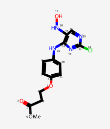 COC(=O)CCOc1ccc(Nc2nc(Cl)ncc2NO)cc1